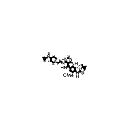 COc1cc(C(=N)c2c(N)ncnc2NCCN2CCC(N(C)C3CC3)CC2)ccc1NC(=O)OC1(C)CC1